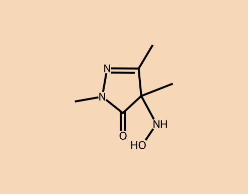 CC1=NN(C)C(=O)C1(C)NO